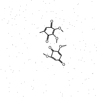 COC1=C(OC)C(=O)C(C)=CC1=O.COC1=CC(=O)C=C(OC)C1=O